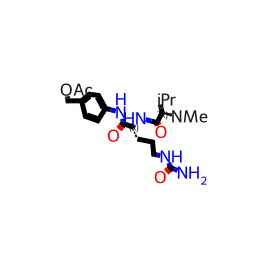 CN[C@@H](C(=O)N[C@H](CCCNC(N)=O)C(=O)Nc1ccc(COC(C)=O)cc1)C(C)C